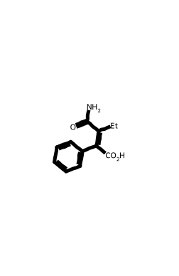 CCC(C(N)=O)=C(C(=O)O)c1ccccc1